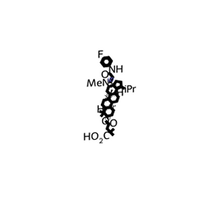 CN/C(=C\C(=O)Nc1ccc(F)cc1)[C@]12CCC(C(C)C)=C1[C@H]1CCC3[C@@]4(C)CC[C@H](OC(=O)CC(C)(C)C(=O)O)C(C)(C)[C@H]4CC[C@@]3(C)[C@]1(C)CC2